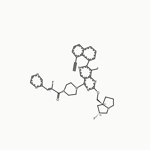 C#Cc1cccc2cccc(-c3ncc4c(N5CCN(C(=O)/C(F)=C/c6cnccn6)CC5)nc(OC[C@@]56CCCN5C[C@H](F)C6)nc4c3F)c12